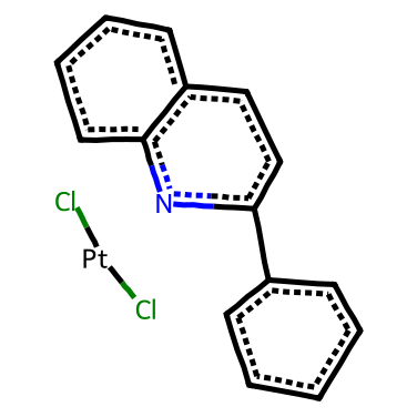 [Cl][Pt][Cl].c1ccc(-c2ccc3ccccc3n2)cc1